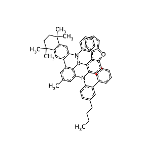 CCCCc1ccc(N2c3cc(C)cc4c3B(c3c2ccc2oc5ccccc5c32)N(c2ccccc2)c2cc3c(cc2-4)C(C)(C)CCC3(C)C)c(-c2ccccc2)c1